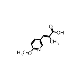 COc1ccc(/C=C(\C)C(=O)O)cn1